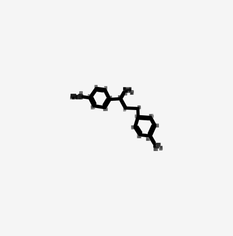 COc1ccc(C(N)CCc2ccc(C(F)(F)F)cc2)cc1